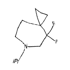 CC(C)N1CCC2(CC2)C(F)(F)C1